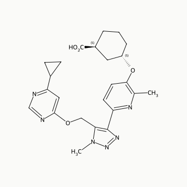 Cc1nc(-c2nnn(C)c2COc2cc(C3CC3)ncn2)ccc1O[C@H]1CCC[C@H](C(=O)O)C1